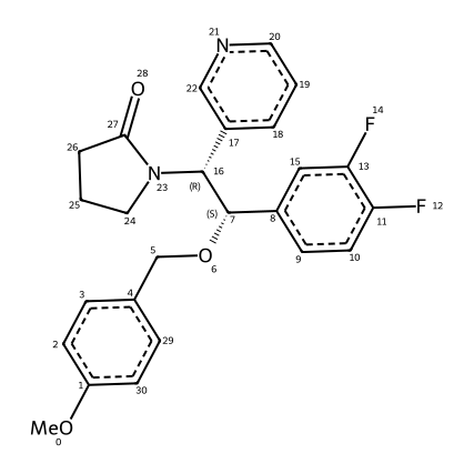 COc1ccc(CO[C@@H](c2ccc(F)c(F)c2)[C@@H](c2cccnc2)N2CCCC2=O)cc1